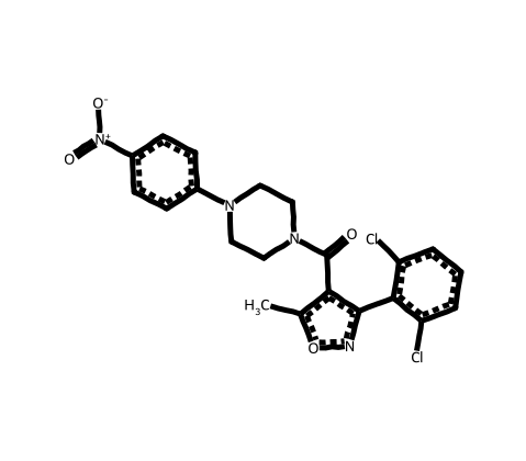 Cc1onc(-c2c(Cl)cccc2Cl)c1C(=O)N1CCN(c2ccc([N+](=O)[O-])cc2)CC1